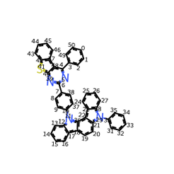 c1ccc(-c2nc(-c3ccc(-n4c5ccccc5c5ccc6c(c7ccccc7n6-c6ccccc6)c54)cc3)nc3sc4ccccc4c23)cc1